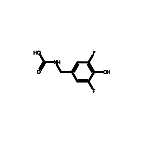 O=C(O)NCc1cc(F)c(O)c(F)c1